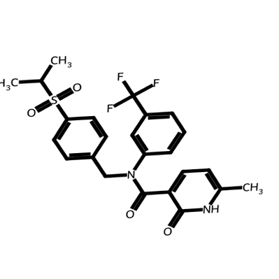 Cc1ccc(C(=O)N(Cc2ccc(S(=O)(=O)C(C)C)cc2)c2cccc(C(F)(F)F)c2)c(=O)[nH]1